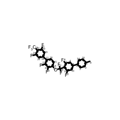 Cc1ccc(-c2cc(F)c(C(F)(F)Oc3ccc(-c4cc(F)c(C(F)(F)F)c(F)c4)c(F)c3F)c(F)c2)cc1